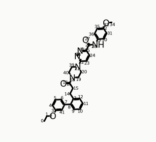 CCOc1cccc(-c2ccccc2CCC(=O)N2CCN(c3ccc(C(=O)Nc4ccc(OC)cc4)nn3)CC2)c1